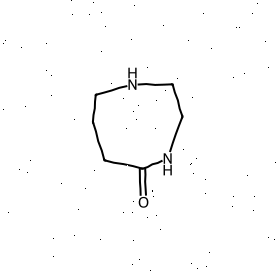 O=C1CCCNCCN1